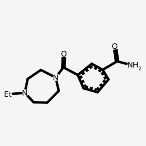 CCN1CCCN(C(=O)c2cccc(C(N)=O)c2)CC1